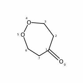 O=C1CCOOCC1